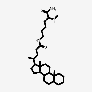 CNC(CCCCNC(=O)CCC(C)C1CCC2C3CCC4CCCCC4(C)C3CCC12C)C(N)=O